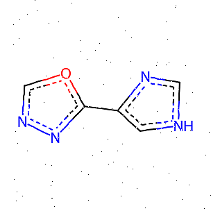 c1nc(-c2nnco2)c[nH]1